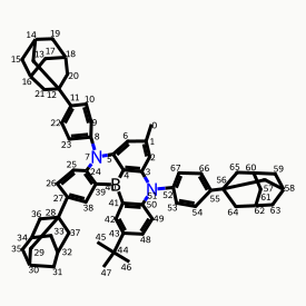 Cc1cc2c3c(c1)N(c1ccc(C45CC6CC(CC(C6)C4)C5)cc1)c1ccc(C45CC6CC(CC(C6)C4)C5)cc1B3c1cc(C(C)(C)C)ccc1N2c1ccc(C23CC4CC(CC(C4)C2)C3)cc1